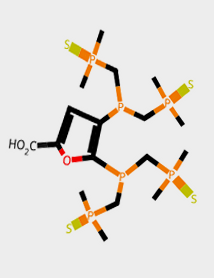 CP(C)(=S)CP(CP(C)(C)=S)c1cc(C(=O)O)oc1P(CP(C)(C)=S)CP(C)(C)=S